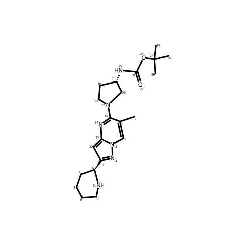 Cc1cn2nc([C@@H]3CCCCN3)cc2nc1N1CC[C@H](NC(=O)OC(C)(C)C)C1